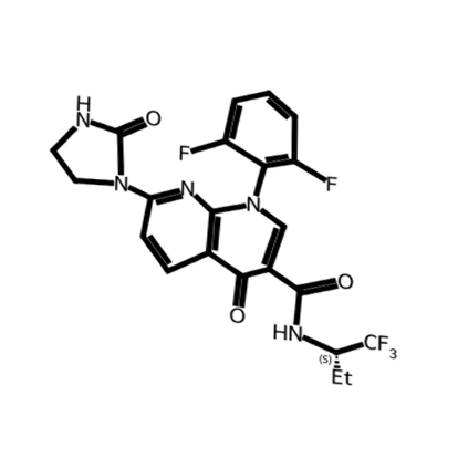 CC[C@H](NC(=O)c1cn(-c2c(F)cccc2F)c2nc(N3CCNC3=O)ccc2c1=O)C(F)(F)F